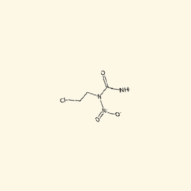 [NH]C(=O)N(CCCl)[N+](=O)[O-]